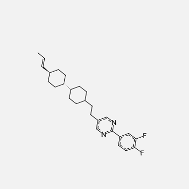 C/C=C/[C@H]1CC[C@H](C2CCC(CCc3cnc(-c4ccc(F)c(F)c4)nc3)CC2)CC1